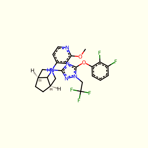 COc1cc(N2C[C@H]3CC[C@@H](C2)C3Nc2nc(Oc3cccc(F)c3F)n(CC(F)(F)F)n2)ccn1